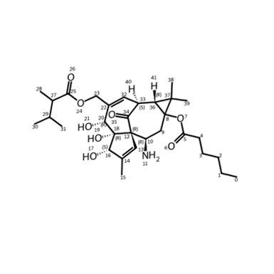 CCCCCC(=O)OC12C[C@@H](N)[C@]34C=C(C)[C@H](O)[C@@]3(O)[C@H](O)C(COC(=O)C(C)C(C)C)=C[C@H](C4=O)[C@@H]1C2(C)C